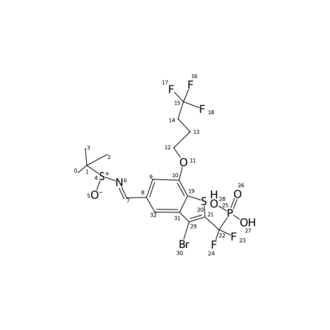 CC(C)(C)[S+]([O-])/N=C/c1cc(OCCCC(F)(F)F)c2sc(C(F)(F)P(=O)(O)O)c(Br)c2c1